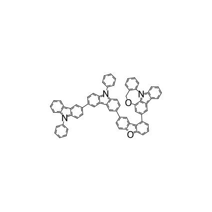 c1ccc(-n2c3ccccc3c3cc(-c4ccc5c(c4)c4cc(-c6ccc7oc8cccc(-c9cc%10c%11c(c9)c9ccccc9n%11-c9ccccc9CO%10)c8c7c6)ccc4n5-c4ccccc4)ccc32)cc1